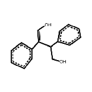 OC=C(c1ccccc1)C(CO)c1ccccc1